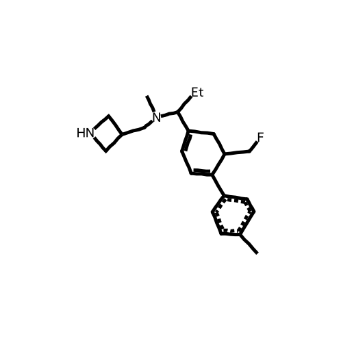 CCC(C1=CC=C(c2ccc(C)cc2)C(CF)C1)N(C)CC1CNC1